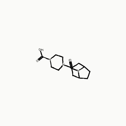 O=CN1C2CCC1CC(N1CCN(C(=O)O)CC1)C2